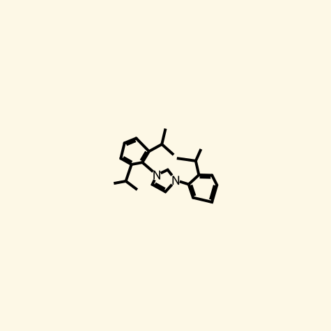 CC(C)c1ccccc1N1C=CN(c2c(C(C)C)cccc2C(C)C)C1